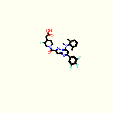 Cc1cccc(C)c1N(C)c1cc(-c2cc(F)c(F)c(F)c2)nc2cc(C(=O)N3CCC(CC(=O)O)C(F)C3)nn12